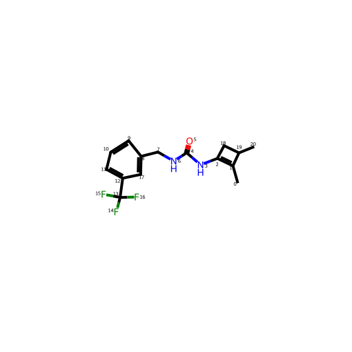 CC1=C(NC(=O)NCc2cccc(C(F)(F)F)c2)CC1C